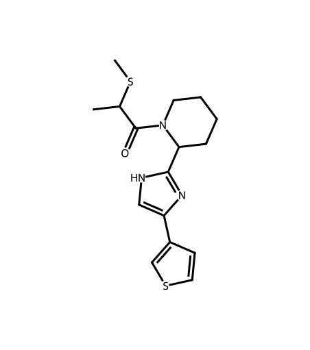 CSC(C)C(=O)N1CCCCC1c1nc(-c2ccsc2)c[nH]1